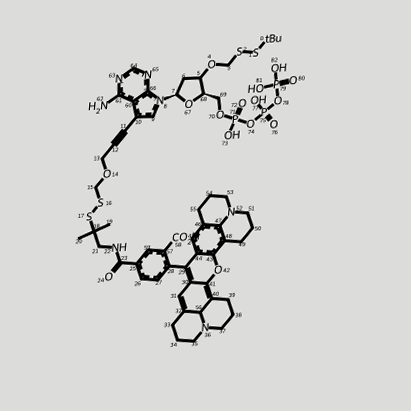 CC(C)(C)SSCOC1C[C@H](n2cc(C#CCOCSSC(C)(C)CNC(=O)c3ccc(C4=C5C=C6CCCN7CCCC(=C5Oc5c4cc4c8c5CCCN8CCC4)C67)c(C(=O)O)c3)c3c(N)ncnc32)O[C@@H]1COP(=O)(O)OP(=O)(O)OP(=O)(O)O